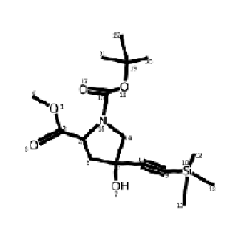 COC(=O)C1CC(O)(C#C[Si](C)(C)C)CN1C(=O)OC(C)(C)C